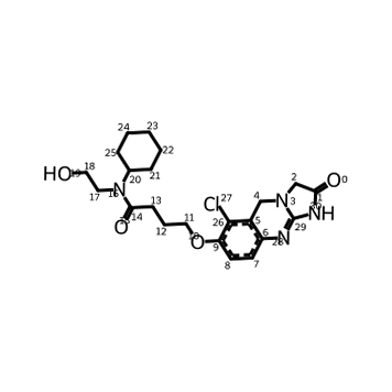 O=C1CN2Cc3c(ccc(OCCCC(=O)N(CCO)C4CCCCC4)c3Cl)N=C2N1